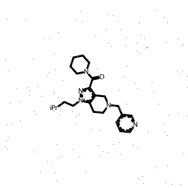 CC(C)CCn1nc(C(=O)N2CCCCC2)c2c1CCN(Cc1cccnc1)C2